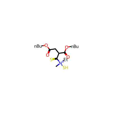 CCCCOC(=O)CC(C(=O)OCCCC)C(=S)[N+](C)(S)CC